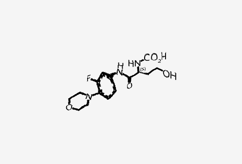 O=C(O)N[C@@H](CCO)C(=O)Nc1ccc(N2CCOCC2)c(F)c1